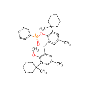 COc1c(Cc2cc(C)cc(C3(C)CCCCC3)c2O[PH](=O)c2ccccc2)cc(C)cc1C1(C)CCCCC1